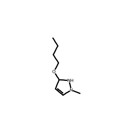 CCCCOC1C=CN(C)N1